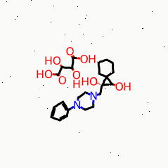 O=C(O)C(O)C(O)C(=O)O.OC1C2(CCCCC2)[C@]1(O)CN1CCN(c2ccccc2)CC1